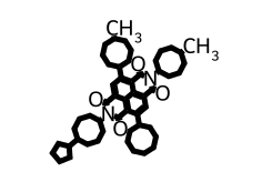 CC1CCCC(c2cc3c4c(c(C5CCCCCCC5)cc5c4c2C(=O)N(C2CCCC(C)CCC2)C5=O)C(=O)N(C2CCCC(C4CCCC4)CCC2)C3=O)CCC1